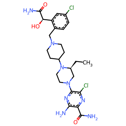 CC[C@H]1CN(c2nc(N)c(C(N)=O)nc2Cl)CCN1C1CCN(Cc2ccc(Cl)cc2[C@@H](O)C(N)=O)CC1